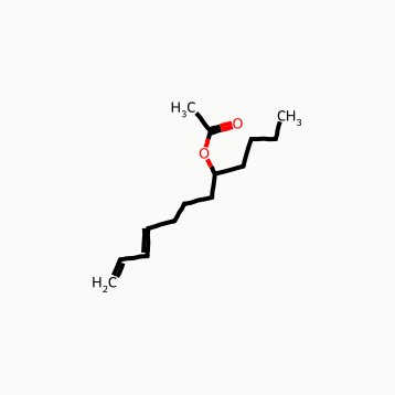 C=CC=CCCCC(CCCC)OC(C)=O